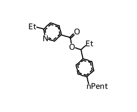 CCCCCc1ccc(C(CC)OC(=O)c2ccc(CC)nc2)cc1